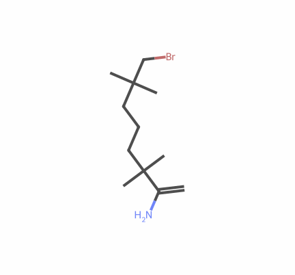 C=C(N)C(C)(C)CCCC(C)(C)CBr